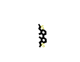 C=c1/c(=c2/ccc3sc(C)cc3c2=C)ccc2sc(C)cc12